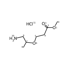 COC(=O)CCOC(C)CN.Cl